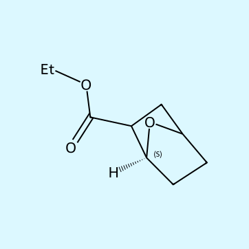 CCOC(=O)C1CC2CC[C@@H]1O2